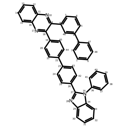 c1ccc(-c2cccc(-c3nc4ccccc4nc3-c3ccc(-c4ccc(-c5nc6ccccc6n5-c5ccccc5)cc4)cc3)c2)cc1